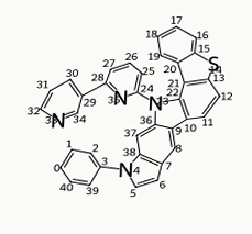 c1ccc(-n2ccc3cc4c5ccc6sc7ccccc7c6c5n(-c5cccc(-c6cccnc6)n5)c4cc32)cc1